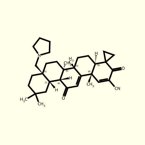 CC1(C)CC[C@]2(CN3CCCC3)CC[C@]3(C)[C@H](C(=O)C=C4[C@@]5(C)C=C(C#N)C(=O)C6(CC6)[C@@H]5CC[C@]43C)[C@@H]2C1